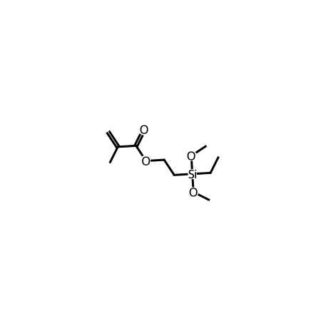 C=C(C)C(=O)OCC[Si](CC)(OC)OC